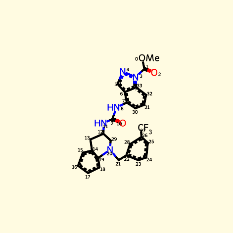 COC(=O)n1ncc2c(NC(=O)NC3Cc4ccccc4N(Cc4cccc(C(F)(F)F)c4)C3)cccc21